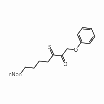 CCCCCCCCCCCCCC(=S)C(=O)COc1ccccc1